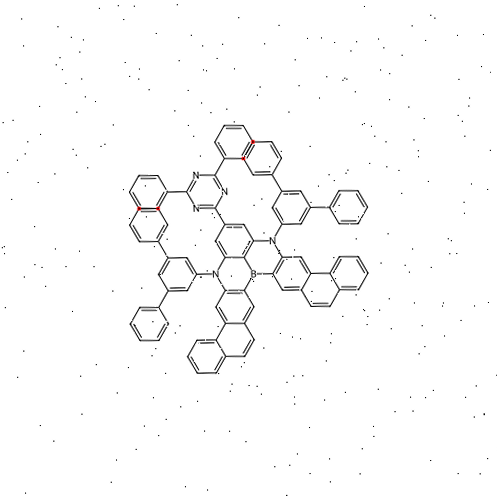 c1ccc(-c2cc(-c3ccccc3)cc(N3c4cc5c(ccc6ccccc65)cc4B4c5cc6ccc7ccccc7c6cc5N(c5cc(-c6ccccc6)cc(-c6ccccc6)c5)c5cc(-c6nc(-c7ccccc7)nc(-c7ccccc7)n6)cc3c54)c2)cc1